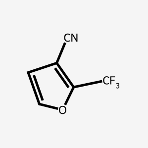 N#Cc1ccoc1C(F)(F)F